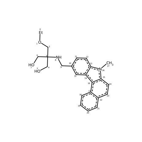 CCOCC(CO)(CO)NCc1ccc2c(c1)c1c3ccccc3ccc1n2C